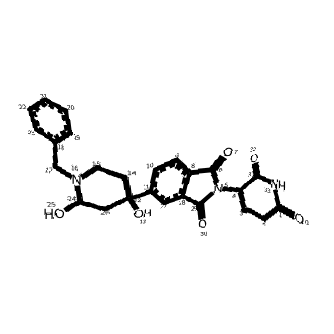 O=C1CCC(N2C(=O)c3ccc(C4(O)CCN(Cc5ccccc5)C(O)C4)cc3C2=O)C(=O)N1